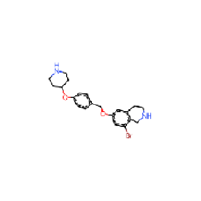 Brc1cc(OCc2ccc(OC3CCNCC3)cc2)cc2c1CNCC2